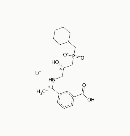 C[C@H](NC[C@H](O)CP(=O)([O-])CC1CCCCC1)c1cccc(C(=O)O)c1.[Li+]